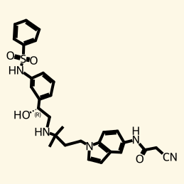 CC(C)(CCn1ccc2cc(NC(=O)CC#N)ccc21)NC[C@H](O)c1cccc(NS(=O)(=O)c2ccccc2)c1